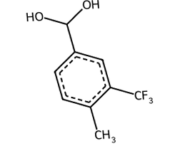 Cc1ccc(C(O)O)cc1C(F)(F)F